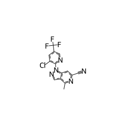 Cc1nc(C#N)cc2c1cnn2-c1ncc(C(F)(F)F)cc1Cl